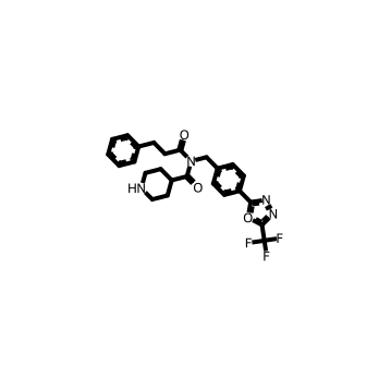 O=C(CCc1ccccc1)N(Cc1ccc(-c2nnc(C(F)(F)F)o2)cc1)C(=O)C1CCNCC1